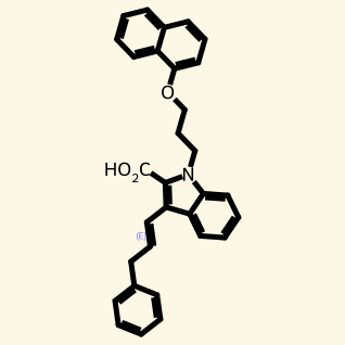 O=C(O)c1c(/C=C/Cc2ccccc2)c2ccccc2n1CCCOc1cccc2ccccc12